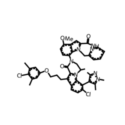 COc1ccc(N2CC(C)n3c(c(CCCOc4cc(C)c(Cl)c(C)c4)c4ccc(Cl)c(-c5c(C)nn(C)c5C)c43)C2=O)c2c1cc(C(N)=O)n2Cc1ccccn1